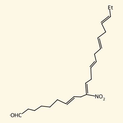 CC/C=C/C/C=C/C/C=C/C/C=C(/C/C=C/CCCCC[C]=O)[N+](=O)[O-]